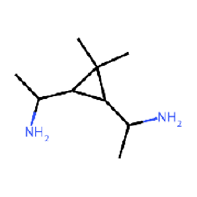 CC(N)C1C(C(C)N)C1(C)C